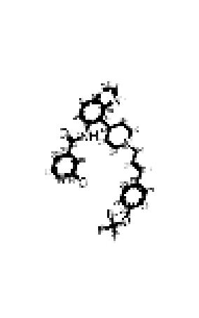 O=C(Nc1ccc2scnc2c1C1CCN(C/C=C/c2ccc(OC(F)(F)F)cc2)CC1)c1ccnc(Cl)c1